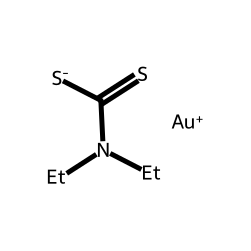 CCN(CC)C(=S)[S-].[Au+]